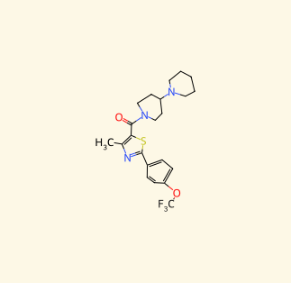 Cc1nc(-c2ccc(OC(F)(F)F)cc2)sc1C(=O)N1CCC(N2CCCCC2)CC1